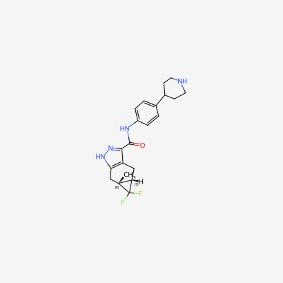 C[C@@]12Cc3[nH]nc(C(=O)Nc4ccc(C5CCNCC5)cc4)c3C[C@@H]1C2(F)F